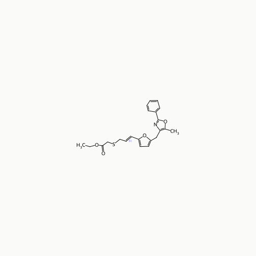 CCOC(=O)CSC/C=C/c1ccc(Cc2nc(-c3ccccc3)oc2C)o1